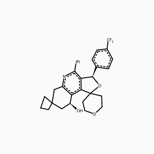 CC(C)c1nc2c(c3c1[C@@H](c1ccc(C(F)(F)F)cc1)OC31CCOCC1)[C@@H](O)CC1(CCC1)C2